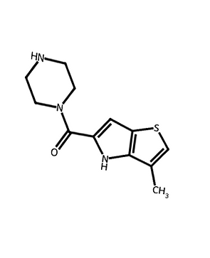 Cc1csc2cc(C(=O)N3CCNCC3)[nH]c12